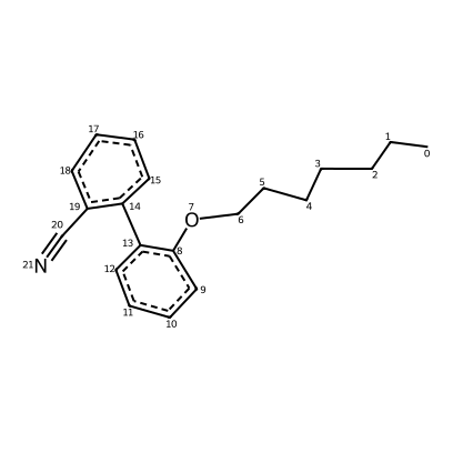 CCCCCCCOc1ccccc1-c1ccccc1C#N